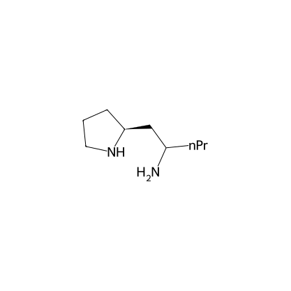 CCCC(N)C[C@@H]1CCCN1